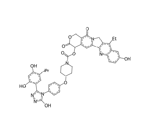 CCc1c2c(nc3ccc(O)cc13)-c1cc3c(c(=O)n1C2)COC(=O)C3OC(=O)N1CCC(Oc2ccc(-n3c(O)nnc3-c3cc(C(C)C)c(O)cc3O)cc2)CC1